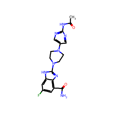 CC(=O)Nc1ncc(N2CCN(c3nc4c(C(N)=O)cc(F)cc4[nH]3)CC2)cn1